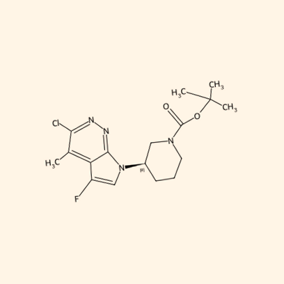 Cc1c(Cl)nnc2c1c(F)cn2[C@@H]1CCCN(C(=O)OC(C)(C)C)C1